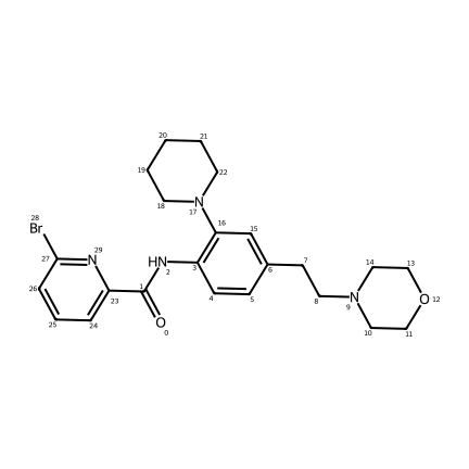 O=C(Nc1ccc(CCN2CCOCC2)cc1N1CCCCC1)c1cccc(Br)n1